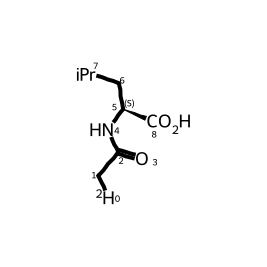 [2H]CC(=O)N[C@@H](CC(C)C)C(=O)O